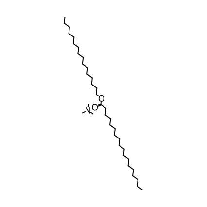 CCCCCCCCCCCCCCCCCC(=O)OCCCCCCCCCCCCCCCC.CN(C)C